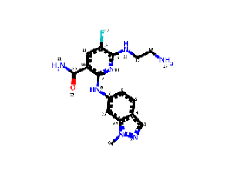 Cn1ncc2ccc(Nc3nc(NCCN)c(F)cc3C(N)=O)cc21